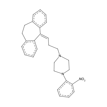 O=[N+]([O-])c1ccccc1N1CCN(CCC=C2c3ccccc3CCc3ccccc32)CC1